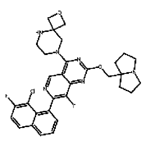 Fc1ccc2cccc(-c3ncc4c(N5CCNC6(COC6)C5)nc(OCC56CCCN5CCC6)nc4c3F)c2c1Cl